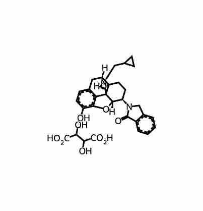 O=C(O)C(O)C(O)C(=O)O.O=C1c2ccccc2CN1[C@@H]1CC[C@@]2(O)[C@H]3Cc4ccc(O)c5c4[C@@]2(CCN3CC2CC2)[C@H]1O5